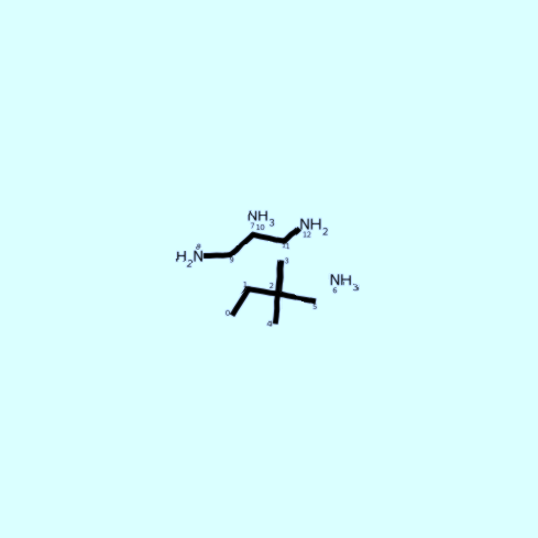 CCC(C)(C)C.N.N.NCCCN